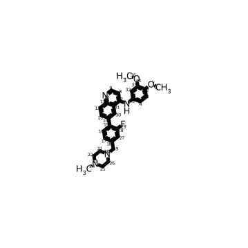 COc1ccc(Nc2ccnc3ccc(-c4ccc(CN5CCN(C)CC5)cc4F)cc23)cc1OC